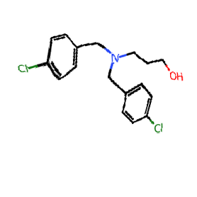 OCCCN(Cc1ccc(Cl)cc1)Cc1ccc(Cl)cc1